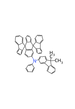 CC1(C)c2ccccc2-c2cc(N(c3ccccc3)c3ccc4c(c3)C3(c5ccccc5-c5ccccc53)c3ccccc3C43c4ccccc4-c4ccccc43)ccc21